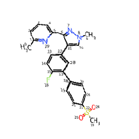 Cc1cccc(-c2nn(C)cc2-c2ccc(F)c(-c3ccc(S(C)(=O)=O)cc3)c2)n1